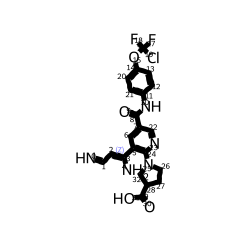 N=C/C=C(\N)c1cc(C(=O)Nc2ccc(OC(F)(F)Cl)cc2)cnc1N1CCC(C(=O)O)C1